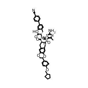 Cc1nc(N)sc1S(=O)(=O)N1Cc2cc3c(cc2C[C@H]1C(=O)N[C@@H](Cc1ccc(-c2ccc(C#N)cc2)cc1)C(=O)O)OCC(c1ccc(OCC2CCCC2)cc1)O3